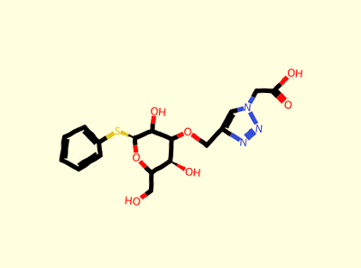 O=C(O)Cn1cc(COC2C(O)[C@H](Sc3ccccc3)OC(CO)[C@@H]2O)nn1